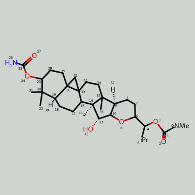 CNC(=O)OC(C(C)C)C1CC[C@H]2C(O1)[C@H](O)[C@@]1(C)C3CC[C@H]4C(C)(C)C(OC(N)=O)CCC45CC35CCC21C